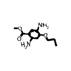 CCCOc1cc(N)c(C(=O)OC)cc1N